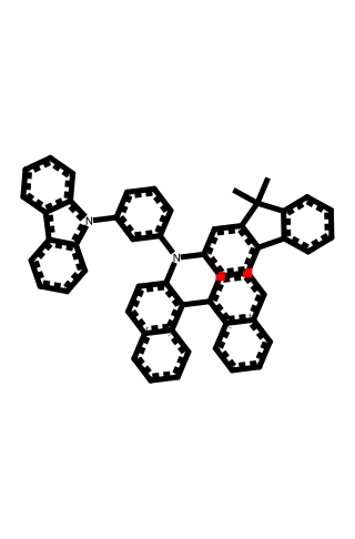 CC1(C)c2ccccc2-c2ccc(N(c3cccc(-n4c5ccccc5c5ccccc54)c3)c3ccc4ccccc4c3-c3cccc4ccccc34)cc21